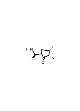 C[C@H]1CC(C(N)=O)N(Cl)[C@H]1C